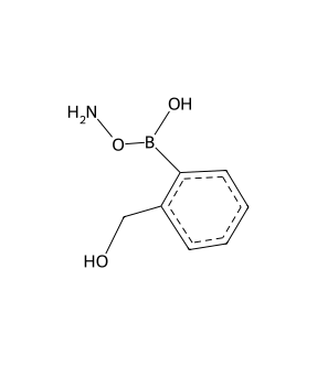 NOB(O)c1ccccc1CO